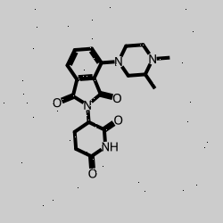 CC1CN(c2cccc3c2C(=O)N(C2CCC(=O)NC2=O)C3=O)CCN1C